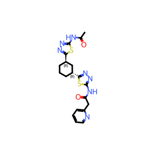 CC(=O)Nc1nnc([C@@H]2CCC[C@@H](c3nnc(NC(=O)Cc4ccccn4)s3)C2)s1